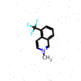 [CH2][n+]1ccc2c(C(F)(F)F)cccc2c1